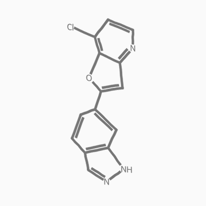 Clc1ccnc2cc(-c3ccc4cn[nH]c4c3)oc12